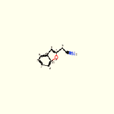 N#CCc1cc2ccccc2o1